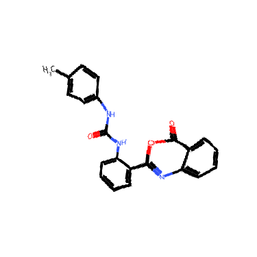 Cc1ccc(NC(=O)Nc2ccccc2-c2nc3ccccc3c(=O)o2)cc1